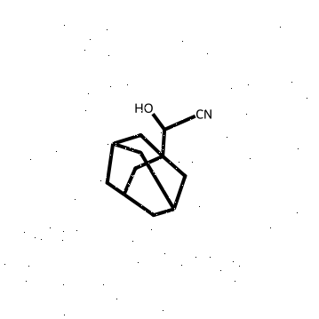 N#CC(O)C12CC3CC(CC(C3)C1)C2